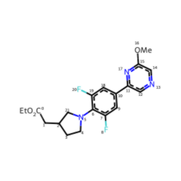 CCOC(=O)CC1CCN(c2c(F)cc(-c3cncc(OC)n3)cc2F)C1